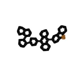 c1ccc(-c2cccc3ccccc23)c(-c2ccc(-c3c4ccccc4c(-c4ccc5sc6ccccc6c5c4)c4ccccc34)cc2)c1